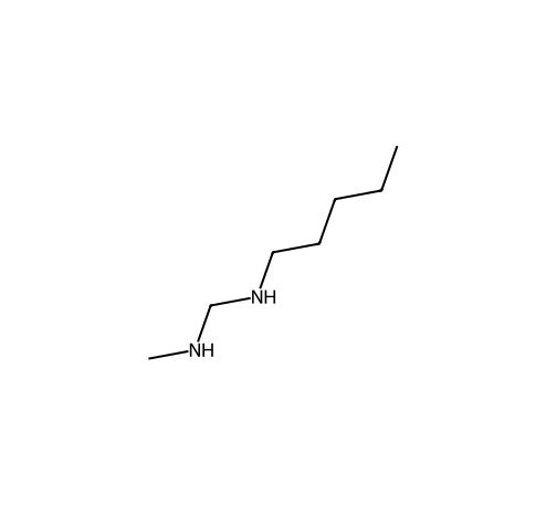 CCCCCNCNC